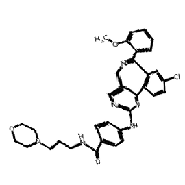 COc1ccccc1C1=NCc2cnc(Nc3ccc(C(=O)NCCCN4CCOCC4)cc3)nc2-c2ccc(Cl)cc21